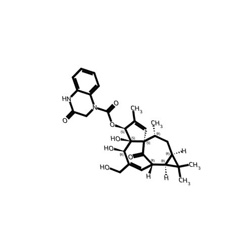 CC1=C[C@]23C(=O)[C@@H](C=C(CO)[C@@H](O)[C@]2(O)[C@H]1OC(=O)N1CC(=O)Nc2ccccc21)[C@H]1[C@@H](C[C@H]3C)C1(C)C